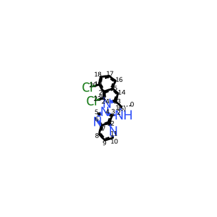 C[C@H](Nc1ncnc2cccnc12)c1cc2cccc(Cl)c2c(Cl)n1